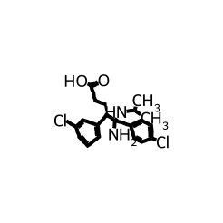 CC(C)NC(N)(c1ccc(Cl)cc1)[C@H](CCC(=O)O)c1cccc(Cl)c1